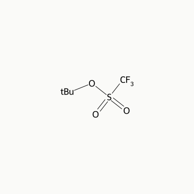 CC(C)(C)OS(=O)(=O)C(F)(F)F